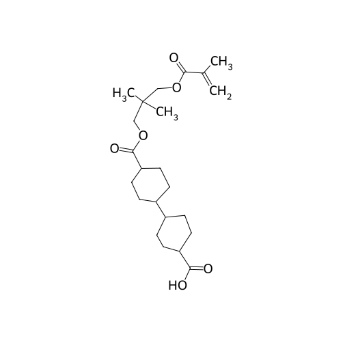 C=C(C)C(=O)OCC(C)(C)COC(=O)C1CCC(C2CCC(C(=O)O)CC2)CC1